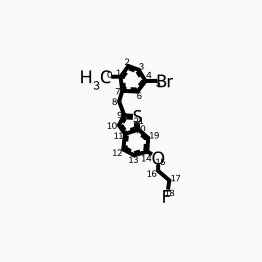 Cc1ccc(Br)cc1Cc1cc2ccc(OCCF)cc2s1